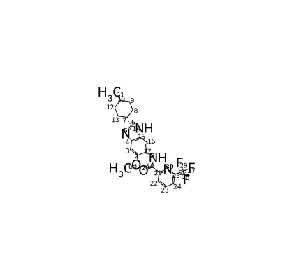 COc1cc2nc([C@H]3CC[C@H](C)CC3)[nH]c2cc1NC(=O)c1cccc(C(F)(F)F)n1